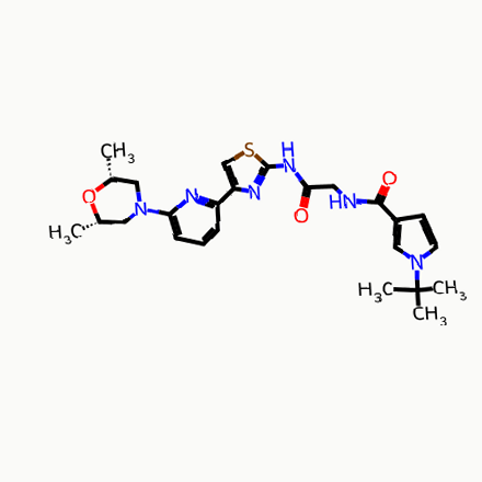 C[C@@H]1CN(c2cccc(-c3csc(NC(=O)CNC(=O)c4ccn(C(C)(C)C)c4)n3)n2)C[C@H](C)O1